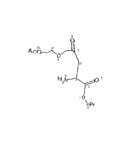 CCCOC(=O)C(N)CC(=O)OCOC(C)=O